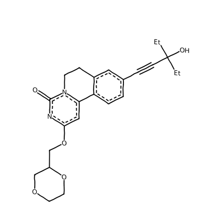 CCC(O)(C#Cc1ccc2c(c1)CCn1c-2cc(OCC2COCCO2)nc1=O)CC